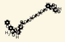 NC(=O)c1c(-c2ccc(Oc3ccccc3)cc2)nn2c1NCCC2C1CCN(C(=O)COCCOCCOCCOCCOCCSc2cccc3c2CN(C2CCC(=O)NC2=O)C3=O)CC1